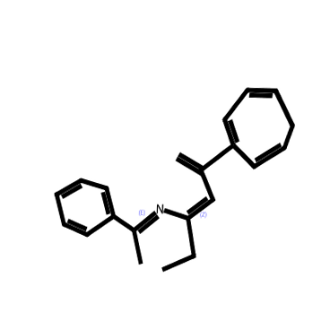 C=C(/C=C(CC)\N=C(/C)c1ccccc1)C1=CC=CCC=C1